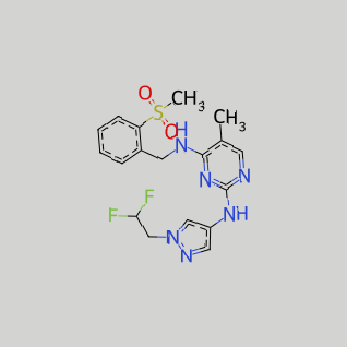 Cc1cnc(Nc2cnn(CC(F)F)c2)nc1NCc1ccccc1S(C)(=O)=O